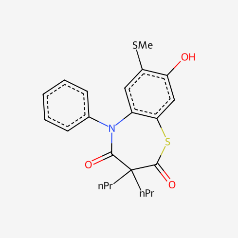 CCCC1(CCC)C(=O)Sc2cc(O)c(SC)cc2N(c2ccccc2)C1=O